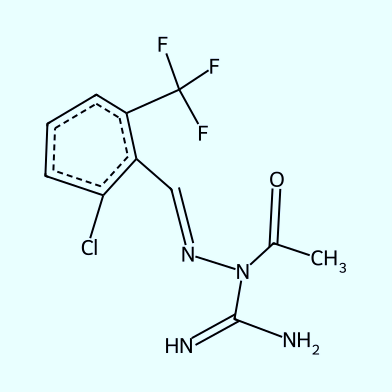 CC(=O)N(/N=C/c1c(Cl)cccc1C(F)(F)F)C(=N)N